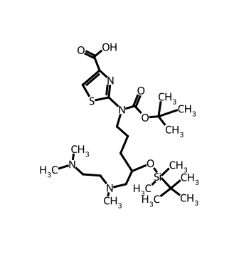 CN(C)CCN(C)CC(CCCN(C(=O)OC(C)(C)C)c1nc(C(=O)O)cs1)O[Si](C)(C)C(C)(C)C